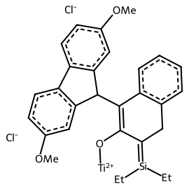 CC[Si](CC)=C1Cc2ccccc2C(C2c3cc(OC)ccc3-c3ccc(OC)cc32)=C1[O][Ti+2].[Cl-].[Cl-]